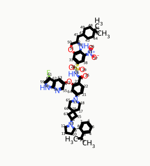 CC(C)c1ccccc1[C@@H]1CCCN1C1CC2(CCN(c3ccc(C(=O)NS(=O)(=O)c4cc5c(c([N+](=O)[O-])c4)NC(CC4CCC(C)(C)CC4)CO5)c(Oc4cnc5[nH]cc(F)c5c4)c3)CC2)C1